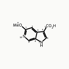 COc1cc2c(C(=O)O)c[nH]c2cn1